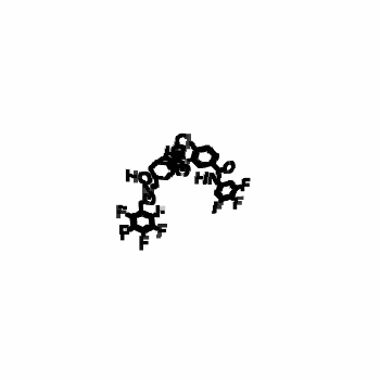 C[C@H]1CC2C[C@](O)(/C=N/OCc3c(F)c(F)c(F)c(F)c3F)CC1[C@@H]2S(=O)(=O)c1cc(C(=O)Nc2cc(F)c(F)c(F)c2)ccc1Cl